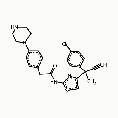 C#CC(C)(c1ccc(Cl)cc1)c1csc(NC(=O)Cc2ccc(N3CCNCC3)cc2)n1